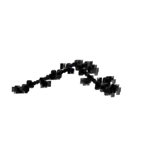 CCCCCCCCCOC(CCC(=O)OCCCCCCCN(CCCCCCCOC(=O)CCC(OCCCCCCCCC)OCCCCCCC(CC)C/C(C)=C\CCC(C)CCOC(CCC(=O)OCCCCCCN(CCCCCCOC(=O)CCC(OCCC(C)CCC=C(C)C)OCCC(C)CCC=C(C)C)C(CO)CC(C)C)OCCC(C)CCC=C(C)C)C(CO)CC(C)C)OCCCCCCCCC